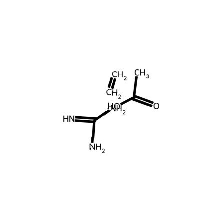 C=C.CC(=O)O.N=C(N)N